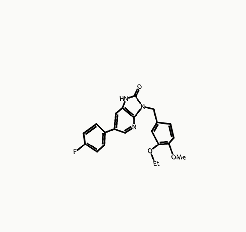 CCOc1cc(Cn2c(=O)[nH]c3cc(-c4ccc(F)cc4)cnc32)ccc1OC